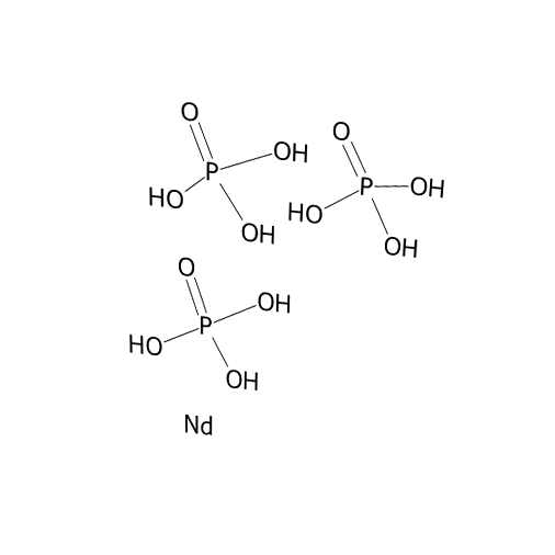 O=P(O)(O)O.O=P(O)(O)O.O=P(O)(O)O.[Nd]